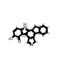 O=C1C=Cc2[nH]c3c4c(c5c(c3c2C1=O)C=NC5)-c1ccccc1C4